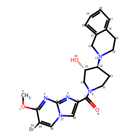 COc1nc2nc(C(=O)N3CC[C@H](N4CCc5ccccc5C4)[C@@H](O)C3)cn2cc1Br